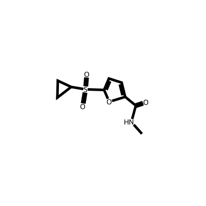 CNC(=O)c1ccc(S(=O)(=O)C2CC2)o1